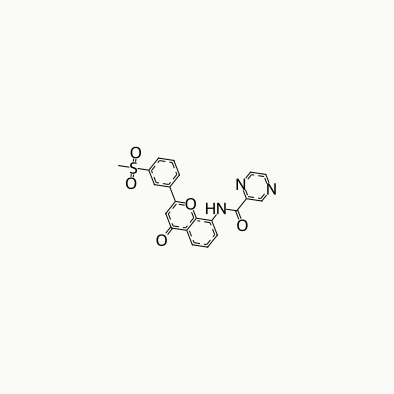 CS(=O)(=O)c1cccc(-c2cc(=O)c3cccc(NC(=O)c4cnccn4)c3o2)c1